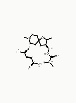 CC1OC2(CCN(C)CC2)CC1=NOC(=O)N(C)C.O=C(O)C=CC(=O)O